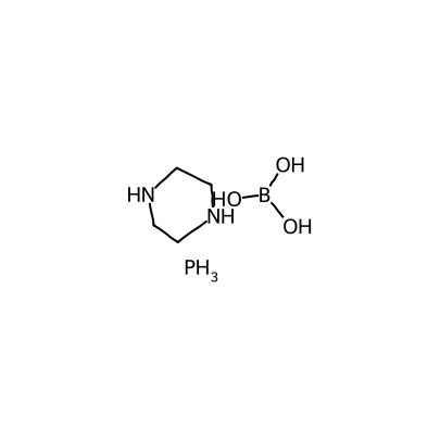 C1CNCCN1.OB(O)O.P